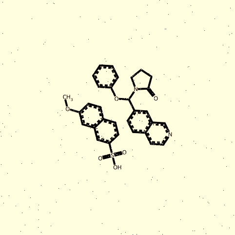 COc1ccc2ccc(S(=O)(=O)O)cc2c1.O=C1CCCN1C(Oc1ccccc1)c1ccc2ccncc2c1